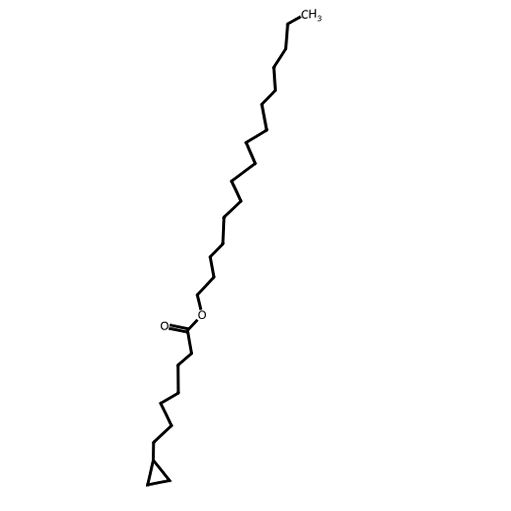 CCCCCCCCCCCCCCCCOC(=O)CCCCCCC1CC1